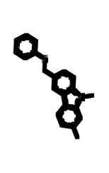 Cc1ccc2c3cc(CSc4ccccc4)ccc3n(C)c2c1